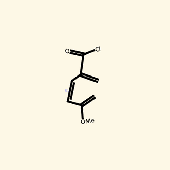 C=C(/C=C\C(=C)C(=O)Cl)OC